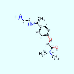 CC(NCCN)c1ccc(OCC(=O)N(C)C)cc1